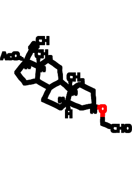 C#C[C@]1(OC(C)=O)CCC2C3CC[C@H]4C[C@H](OCC=O)CC[C@]4(C)C3CC[C@@]21C